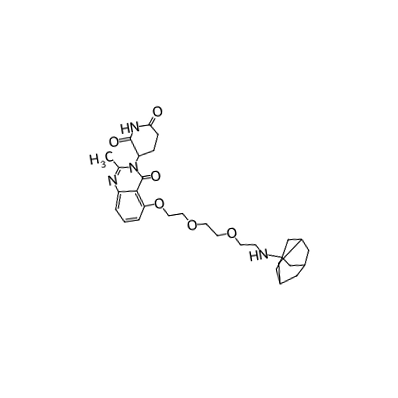 Cc1nc2cccc(OCCOCCOCCNC34CC5CC(CC(C5)C3)C4)c2c(=O)n1C1CCC(=O)NC1=O